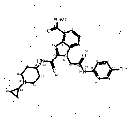 COC(=O)c1cccc2c1nc(C(=O)NC1CCN(C3CC3)CC1)n2CC(=O)Nc1ccc(Cl)cn1